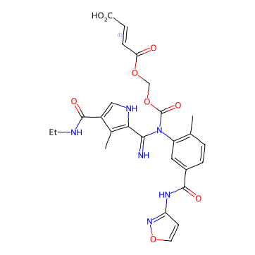 CCNC(=O)c1c[nH]c(C(=N)N(C(=O)OCOC(=O)/C=C/C(=O)O)c2cc(C(=O)Nc3ccon3)ccc2C)c1C